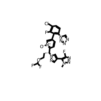 Cn1nnc(F)c1-c1cnn([C@H](CCOC(F)F)c2ccc(-c3c(-n4cnnn4)ccc(Cl)c3F)c[n+]2[O-])c1